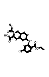 CCOC(=O)c1ccc(Cl)cc1SC1CCC2CN(C(=O)OC)C(C(=O)O)CC2C1